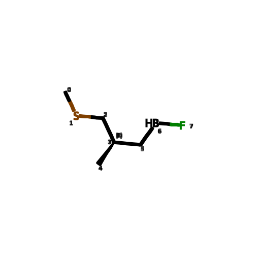 CSC[C@H](C)CBF